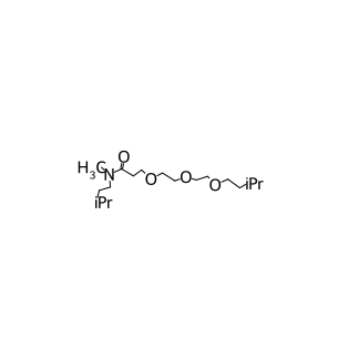 CC(C)CCOCCOCCOCCC(=O)N(C)CCC(C)C